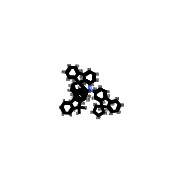 CC1(C)c2ccccc2-c2ccc(N(c3ccc4c(c3)C3(CCCC3)c3ccccc3-4)c3cccc4c3C3(c5ccccc5-4)C4CC5CC(C4)CC3C5)cc21